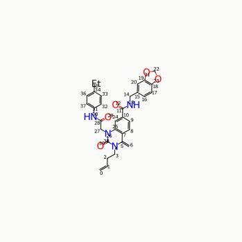 C=CCCN1C(=C)c2ccc(C(=O)NCc3ccc4c(c3)OCO4)cc2N(CC(=O)Nc2ccc(CC)cc2)C1=O